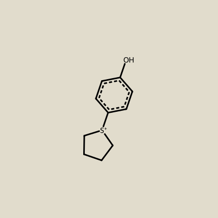 Oc1ccc([S+]2CCCC2)cc1